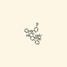 CC(C)(C)NS(=O)(=O)c1ccccc1-c1ccc(NC(C(=O)Nc2cccc(C#N)c2)c2ccccc2)cc1